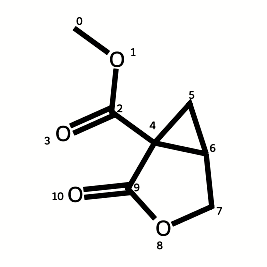 COC(=O)C12CC1COC2=O